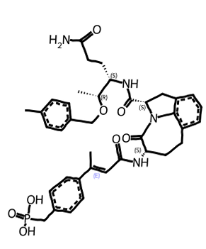 C/C(=C\C(=O)N[C@H]1CCc2cccc3c2N(C1=O)[C@H](C(=O)N[C@@H](CCC(N)=O)[C@@H](C)OCc1ccc(C)cc1)C3)c1ccc(CP(=O)(O)O)cc1